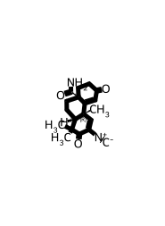 [C-]#[N+]C1=C[C@]2(C)C3=CC(=O)CC[C@]3(C(N)=O)CC[C@H]2C(C)(C)C1=O